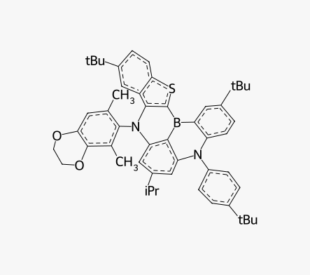 Cc1cc2c(c(C)c1N1c3cc(C(C)C)cc4c3B(c3cc(C(C)(C)C)ccc3N4c3ccc(C(C)(C)C)cc3)c3sc4ccc(C(C)(C)C)cc4c31)OCCO2